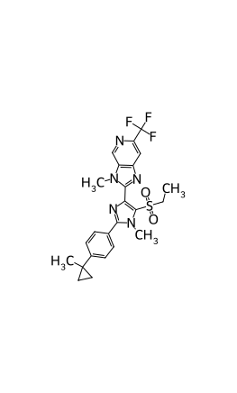 CCS(=O)(=O)c1c(-c2nc3cc(C(F)(F)F)ncc3n2C)nc(-c2ccc(C3(C)CC3)cc2)n1C